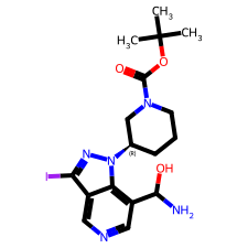 CC(C)(C)OC(=O)N1CCC[C@@H](n2nc(I)c3cncc(C(N)O)c32)C1